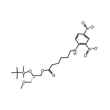 COC[C@@H](COC(=O)CCCCCNc1ccc([N+](=O)[O-])cc1[N+](=O)[O-])O[Si](C)(C)C(C)(C)C